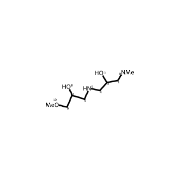 CNCC(O)CNCC(O)COC